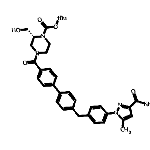 Cc1cc(C(N)=O)nn1-c1ccc(Cc2ccc(-c3ccc(C(=O)N4CCN(C(=O)OC(C)(C)C)[C@@H](CO)C4)cc3)cc2)cc1